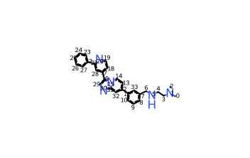 CN(C)CCNCc1cccc(-c2ccn3c(-c4ccnc(-c5ccccc5)c4)cnc3c2)c1